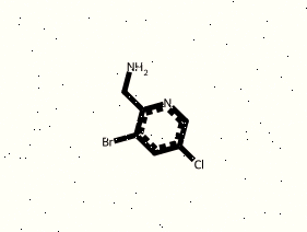 NCc1ncc(Cl)cc1Br